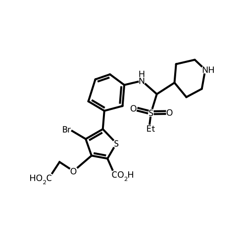 CCS(=O)(=O)C(Nc1cccc(-c2sc(C(=O)O)c(OCC(=O)O)c2Br)c1)C1CCNCC1